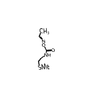 CC=NOC(=O)NCSC